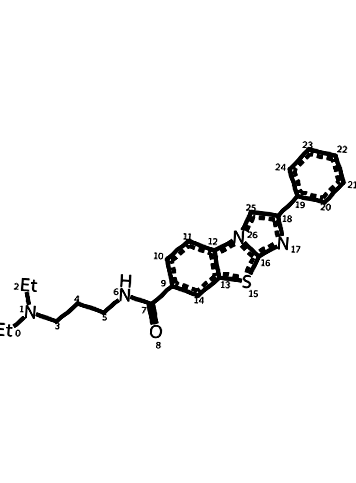 CCN(CC)CCCNC(=O)c1ccc2c(c1)sc1nc(-c3ccccc3)cn12